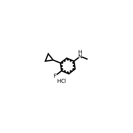 CNc1ccc(F)c(C2CC2)c1.Cl